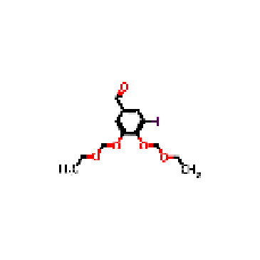 CCOCOc1cc(C=O)cc(I)c1OCOCC